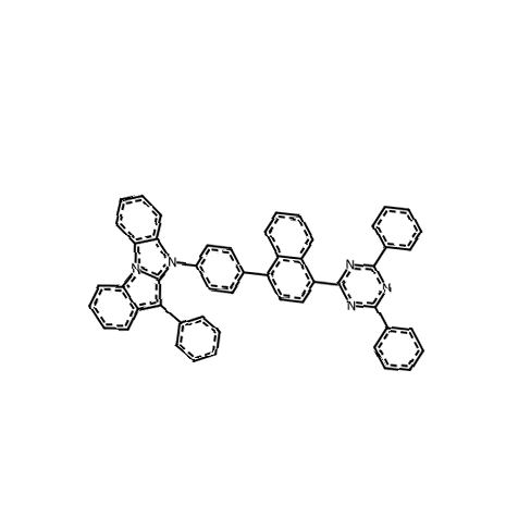 c1ccc(-c2nc(-c3ccccc3)nc(-c3ccc(-c4ccc(-n5c6ccccc6n6c7ccccc7c(-c7ccccc7)c56)cc4)c4ccccc34)n2)cc1